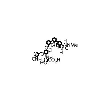 CNC(=O)N[C@@H]1CNCc2cc(-c3cccc(-c4cccc(COc5cc(OCc6cncc(C#N)c6)c(CNC(C)(CO)C(=O)O)cc5Cl)c4C)c3C)ccc21